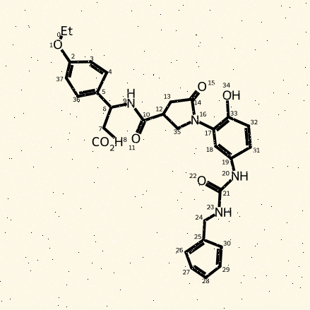 CCOc1ccc(C(CC(=O)O)NC(=O)C2CC(=O)N(c3cc(NC(=O)NCc4ccccc4)ccc3O)C2)cc1